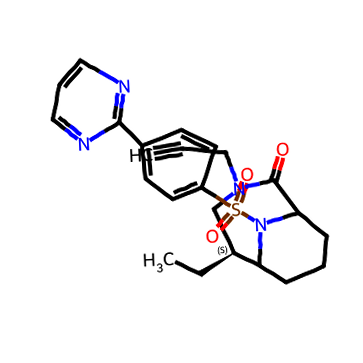 C#CCN1C[C@H](CC)C2CCCC(C1=O)N2S(=O)(=O)c1ccc(-c2ncccn2)cc1